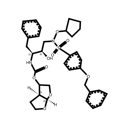 O=C(N[C@@H](Cc1ccccc1)[C@H](O)CN(OC1CCCC1)S(=O)(=O)c1ccc(OCc2ccccc2)cc1)OC1CO[C@H]2OCC[C@@H]12